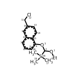 CCOC(Oc1cccc2cc(CCl)ccc12)[Si](C)(C)C